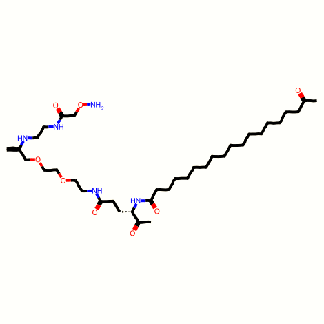 C=C(COCCOCCNC(=O)CC[C@H](NC(=O)CCCCCCCCCCCCCCCCC(C)=O)C(C)=O)NCCNC(=O)CON